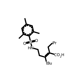 Cc1cc(C)c(S(=O)(=O)NCCC(=C(CC(C)C)C(=O)O)C(C)(C)C)c(C)c1